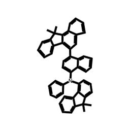 CC1(C)c2ccccc2-c2c(N(c3ccccc3)c3ccc(-c4cc5ccccc5c5c4-c4ccccc4C5(C)C)c4ccccc34)cccc21